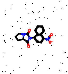 O=C1C2CCCN2C(=O)N1c1ccc([N+](=O)[O-])c2ccccc12